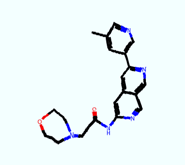 Cc1cncc(-c2cc3cc(NC(=O)CN4CCOCC4)ncc3cn2)c1